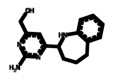 Nc1nc(CO)cc(C2CCCc3ccccc3N2)n1